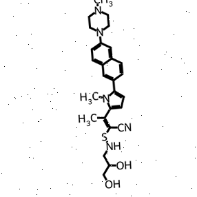 C/C(=C(/C#N)SNCC(O)CO)c1ccc(-c2ccc3cc(N4CCN(C)CC4)ccc3c2)n1C